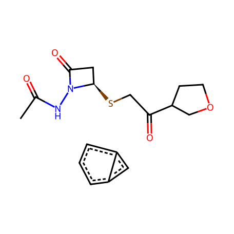 CC(=O)NN1C(=O)C[C@H]1SCC(=O)C1CCOC1.c1cc2cc-2c1